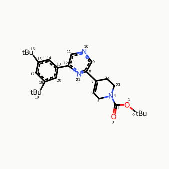 CC(C)(C)OC(=O)N1CC=C(c2cncc(-c3cc(C(C)(C)C)cc(C(C)(C)C)c3)n2)CC1